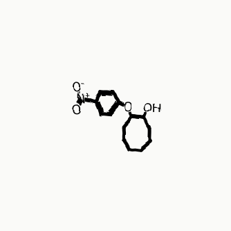 O=[N+]([O-])c1ccc(OC2CCCCCCC2O)cc1